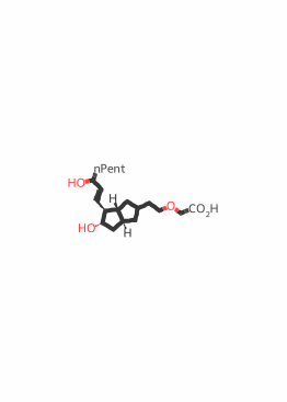 CCCCCC(O)C=C[C@H]1[C@@H]2CC(CCOCC(=O)O)C[C@H]2C[C@@H]1O